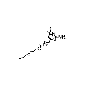 CCCOCCCOSPSCc1cc(OC)nc(N)n1